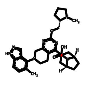 Cc1ccc2[nH]ncc2c1N1CCc2c(nc(OC[C@@H]3CCCN3C)nc2N2C[C@H]3CC[C@@H](C2)N3C(=O)O)C1